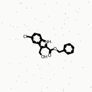 O=C(OCc1ccccc1)c1[nH]c2ccc(Cl)cc2c1CO